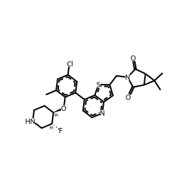 Cc1cc(Cl)cc(-c2ccnc3cc(CN4C(=O)C5C(C4=O)C5(C)C)sc23)c1O[C@@H]1CCNC[C@H]1F